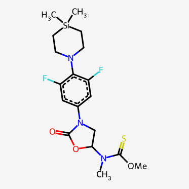 COC(=S)N(C)C1CN(c2cc(F)c(N3CC[Si](C)(C)CC3)c(F)c2)C(=O)O1